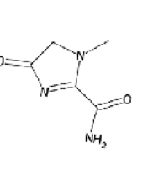 CN1CC(=O)N=C1C(N)=O